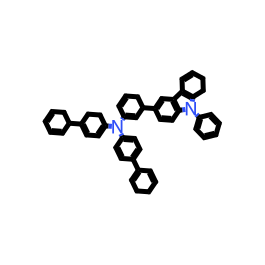 C1=CCC(C2=CC=C(N(C3=CC(c4ccc5c(c4)c4c(n5-c5ccccc5)CCC=C4)CC=C3)c3ccc(C4=CCCC=C4)cc3)CC2)C=C1